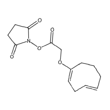 O=C(CO/C1=C/C/C=C/CCC1)ON1C(=O)CCC1=O